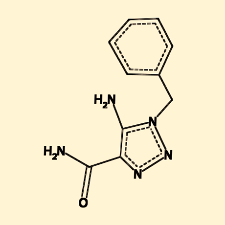 NC(=O)c1nnn(Cc2ccccc2)c1N